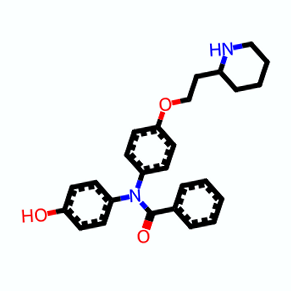 O=C(c1ccccc1)N(c1ccc(O)cc1)c1ccc(OCCC2CCCCN2)cc1